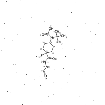 CC(C)(C)N(C(=O)O)C1CCC(F)(C(=O)NNC=O)CC1